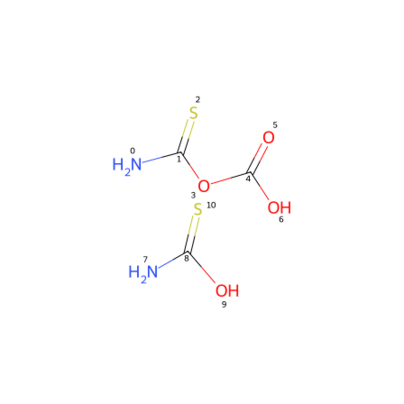 NC(=S)OC(=O)O.NC(O)=S